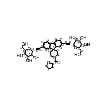 O=C([C@@H]1CCCO1)N1CCC2(CC1)c1cc(C#C[C@H]3O[C@H](CO)[C@@H](O)[C@H](O)[C@@H]3O)ccc1-c1ccc(C#C[C@H]3O[C@H](CO)[C@@H](O)[C@H](O)[C@@H]3O)cc12